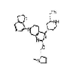 CN1CCC[C@H]1COc1nc2c(c(N3CCN[C@@H](CC#N)C3)n1)CCN(c1cccc3c1OCC3)C2